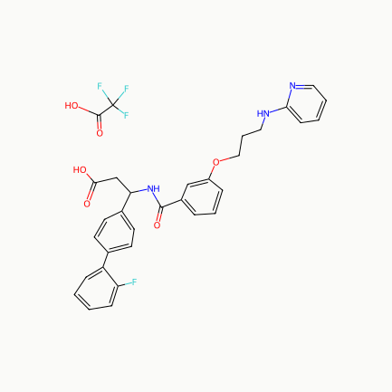 O=C(O)C(F)(F)F.O=C(O)CC(NC(=O)c1cccc(OCCCNc2ccccn2)c1)c1ccc(-c2ccccc2F)cc1